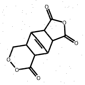 O=C1OOCC2C3C=CC(C12)C1C(=O)OC(=O)C31